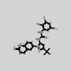 CC(C)(C)c1cc(NC(=O)Nc2cc(F)cc(F)c2F)n(-c2ccc3[nH]c(=O)ccc3c2)n1